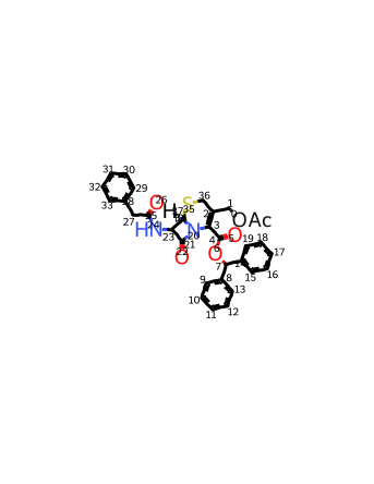 CC(=O)OCC1=C(C(=O)OC(c2ccccc2)c2ccccc2)N2C(=O)C(NC(=O)Cc3ccccc3)[C@H]2SC1